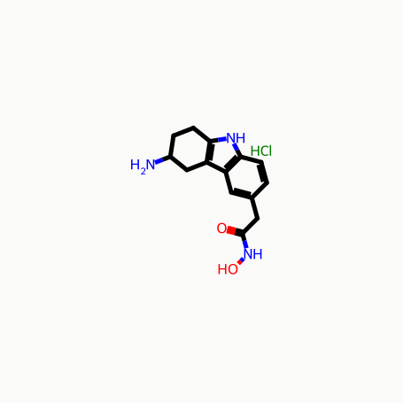 Cl.NC1CCc2[nH]c3ccc(CC(=O)NO)cc3c2C1